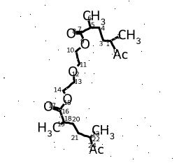 CC(=O)C(C)CCC(C)C(=O)OCCOCCOC(=O)C(C)CCC(C)C(C)=O